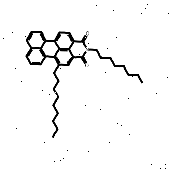 CCCCCCCCCc1cc2c3c(ccc4c5cccc6cccc(c1c34)c65)C(=O)N(CCCCCCCC)C2=O